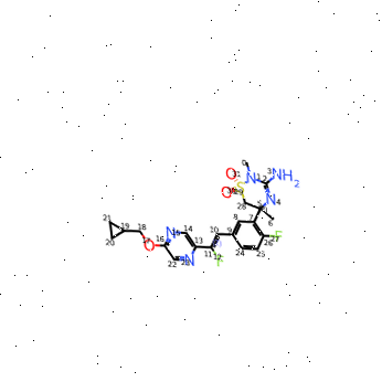 CN1C(N)=N[C@](C)(c2cc(/C=C(\F)c3cnc(OCC4CC4)cn3)ccc2F)CS1(=O)=O